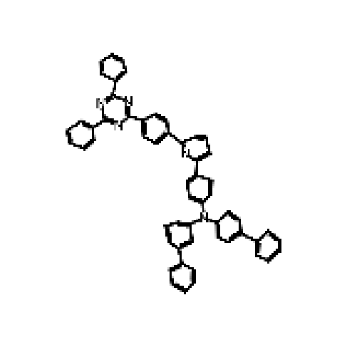 c1ccc(-c2ccc(N(c3ccc(-c4cccc(-c5ccc(-c6nc(-c7ccccc7)nc(-c7ccccc7)n6)cc5)n4)cc3)c3cccc(-c4ccccc4)c3)cc2)cc1